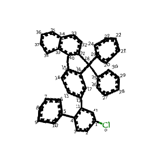 Clc1ccc(-c2ccccc2)c(-c2ccc3c(c2)C(c2ccccc2)(c2ccccc2)c2ccc4ccccc4c2-3)c1